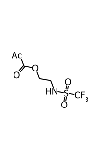 CC(=O)C(=O)OCCNS(=O)(=O)C(F)(F)F